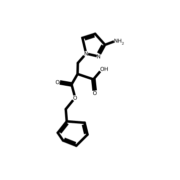 Nc1ccn(CC(C(=O)O)C(=O)OCc2ccccc2)n1